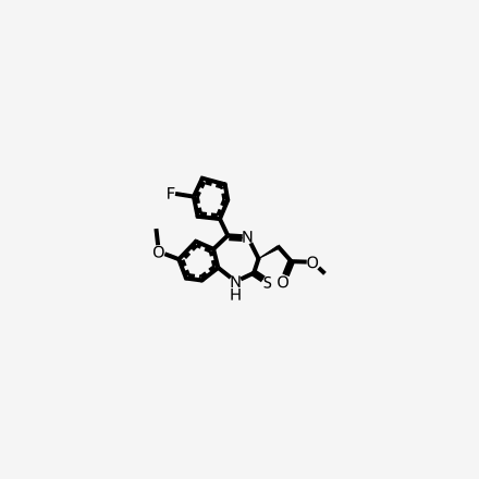 COC(=O)C[C@@H]1N=C(c2cccc(F)c2)c2cc(OC)ccc2NC1=S